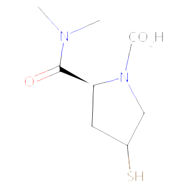 CN(C)C(=O)[C@@H]1CC(S)CN1C(=O)O